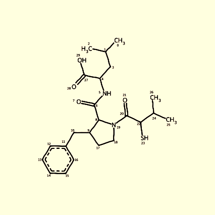 CC(C)CC(NC(=O)C1C(Cc2ccccc2)CCN1C(=O)C(S)C(C)C)C(=O)O